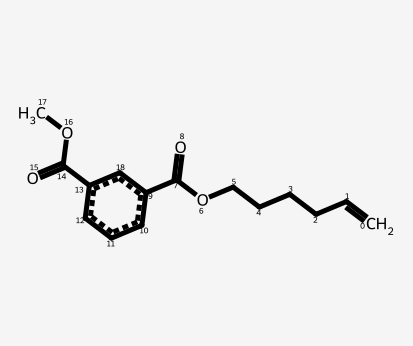 C=CCCCCOC(=O)c1cccc(C(=O)OC)c1